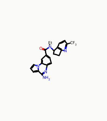 CCN(C(=O)c1ccc2nc(N)c3cccn3c2c1)C1CCc2nc(C(F)(F)F)ccc21